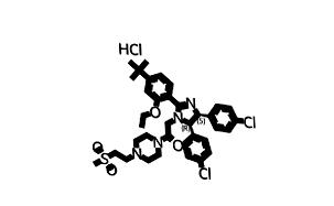 CCOc1cc(C(C)(C)C)ccc1C1=N[C@@H](c2ccc(Cl)cc2)[C@@H](c2ccc(Cl)cc2)N1CC(=O)N1CCN(CCS(C)(=O)=O)CC1.Cl